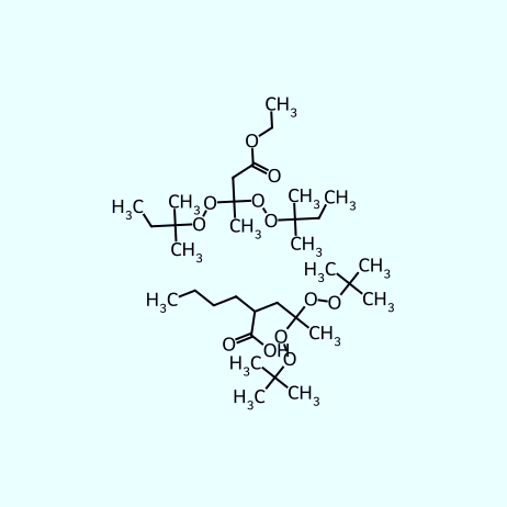 CCCCC(CC(C)(OOC(C)(C)C)OOC(C)(C)C)C(=O)O.CCOC(=O)CC(C)(OOC(C)(C)CC)OOC(C)(C)CC